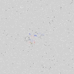 Cc1cn2nc([C@@H]3CCCCN3C(=O)c3cc(Cl)ccc3NS(C)(=O)=O)cc2nc1N1CC(C)C1